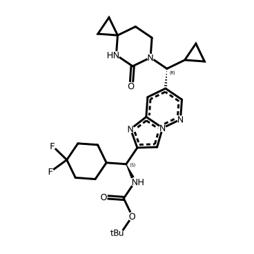 CC(C)(C)OC(=O)N[C@H](c1cn2ncc([C@@H](C3CC3)N3CCC4(CC4)NC3=O)cc2n1)C1CCC(F)(F)CC1